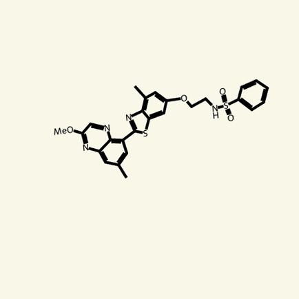 COc1cnc2c(-c3nc4c(C)cc(OCCNS(=O)(=O)c5ccccc5)cc4s3)cc(C)cc2n1